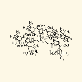 CCCCCCCCN(c1nc(NCCCCC(CCCNc2nc(N(CCCCCCCC)C3CC(C)(C)NC(C)(C)C3)nc(N(CCCCCCCC)C3CC(C)(C)NC(C)(C)C3)n2)CNc2nc(N(CCCCCCCC)C3CC(C)(C)NC(C)(C)C3)nc(N(CCCCCCCC)C3CC(C)(C)NC(C)(C)C3)n2)nc(N(CCCCCCCC)C2CC(C)(C)NC(C)(C)C2)n1)C1CC(C)(C)NC(C)(C)C1